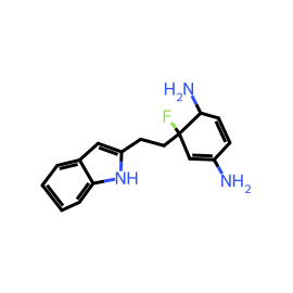 NC1=CC(F)(CCc2cc3ccccc3[nH]2)C(N)C=C1